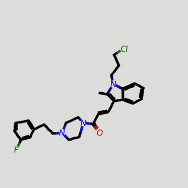 Cc1c(C=CC(=O)N2CCN(CCc3cccc(F)c3)CC2)c2ccccc2n1CCCCl